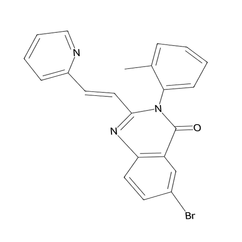 Cc1ccccc1-n1c(C=Cc2ccccn2)nc2ccc(Br)cc2c1=O